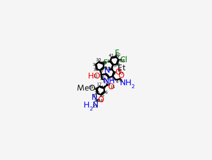 CCOc1c(CC(N)=O)cc([C@@](O)(CNC(=O)c2cc(OC)c3nc(N)oc3c2)c2ccccc2)nc1-c1cc(Cl)c(F)cc1F